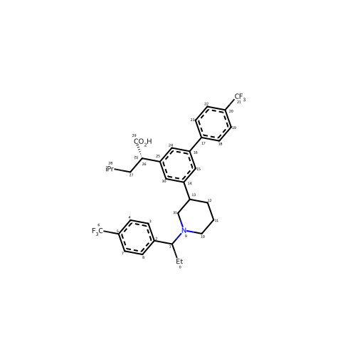 CCC(c1ccc(C(F)(F)F)cc1)N1CCCC(c2cc(-c3ccc(C(F)(F)F)cc3)cc([C@H](CC(C)C)C(=O)O)c2)C1